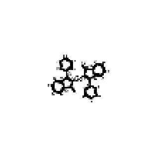 CC1[C]([Gd][C]2=C(c3ccccc3)c3ccccc3C2C)=C(c2ccccc2)c2ccccc21